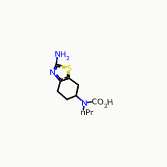 CCCN(C(=O)O)C1CCc2nc(N)sc2C1